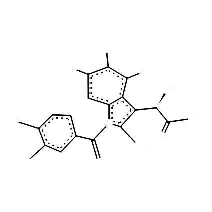 Cc1c([C@@H](C)C(=O)O)c2c(F)c(O)c(F)cc2n1C(=O)c1ccc(Cl)c(Cl)c1